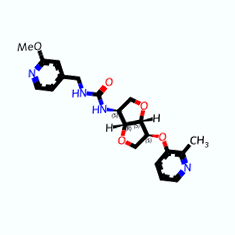 COc1cc(CNC(=O)N[C@H]2CO[C@H]3[C@@H]2OC[C@@H]3Oc2cccnc2C)ccn1